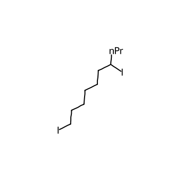 CCCC(I)CCCCCCI